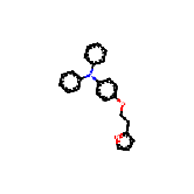 c1ccc(N(c2ccccc2)c2ccc(OCCc3ccco3)cc2)cc1